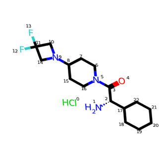 Cl.N[C@H](C(=O)N1CCC(N2CC(F)(F)C2)CC1)C1CCCCC1